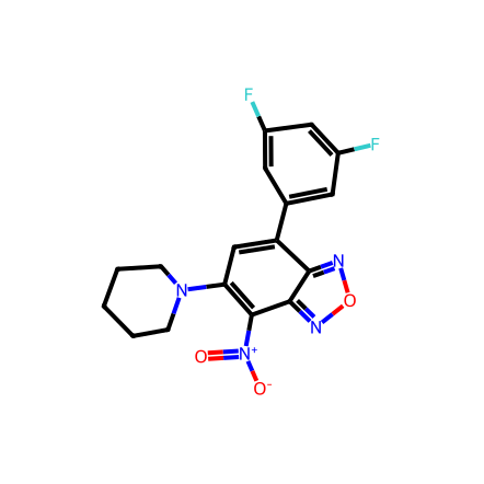 O=[N+]([O-])c1c(N2CCCCC2)cc(-c2cc(F)cc(F)c2)c2nonc12